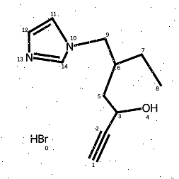 Br.C#CC(O)CC(CC)Cn1ccnc1